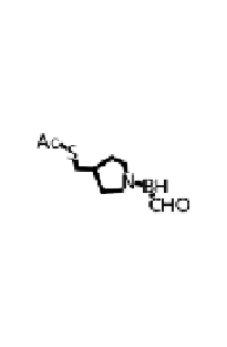 CC(=O)SCC1CCN(BC=O)CC1